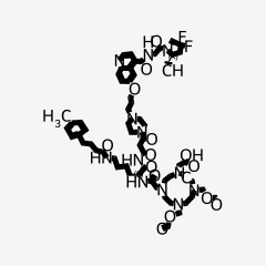 C#C[C@H]1CC(F)(F)CN1C(=O)CNC(=O)c1ccnc2ccc(OCCCN3CCN(C(=O)CC(=O)NC(=O)[C@H](CCCCNC(=O)CCCc4ccc(C)cc4)NC(=O)CN4CCN(COC=O)CCN(COC=O)CCN(CC(=O)O)CC4)CC3)cc12